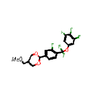 COCC1COC(c2ccc(C(F)(F)Oc3cc(F)c(F)c(F)c3)c(F)c2)OC1